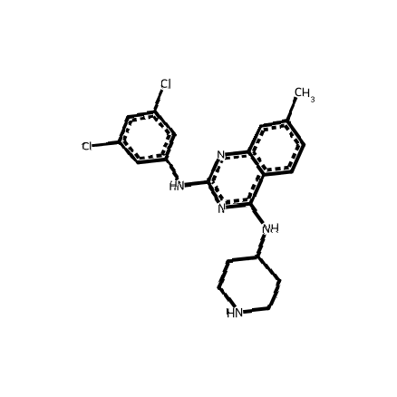 Cc1ccc2c(NC3CCNCC3)nc(Nc3cc(Cl)cc(Cl)c3)nc2c1